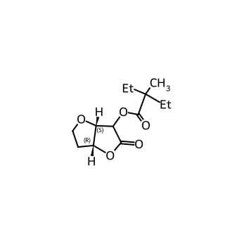 CCC(C)(CC)C(=O)OC1C(=O)O[C@@H]2CCO[C@H]12